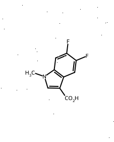 Cn1cc(C(=O)O)c2cc(F)c(F)cc21